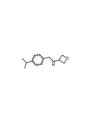 CC(C)c1ccc(CNC2COC2)cc1